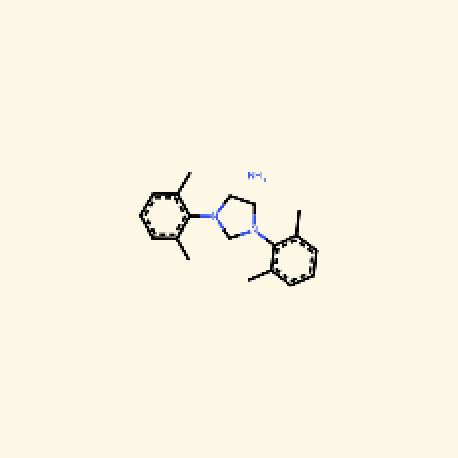 Cc1cccc(C)c1N1CCN(c2c(C)cccc2C)C1.N